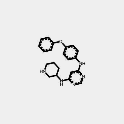 c1ccc(Oc2ccc(Nc3cc(NC4CCCNC4)ncn3)cc2)cc1